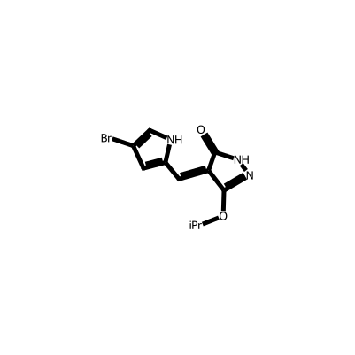 CC(C)OC1=NNC(=O)C1=Cc1cc(Br)c[nH]1